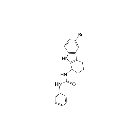 O=C(Nc1ccccc1)NC1CCCc2c1[nH]c1ccc(Br)cc21